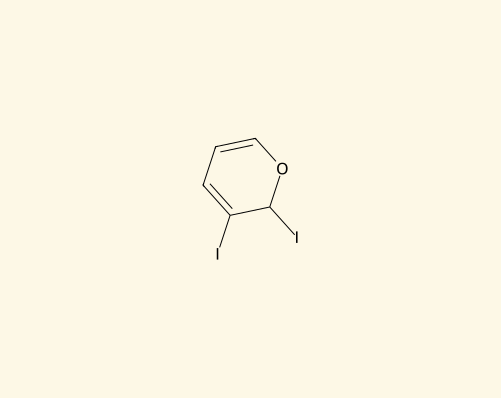 IC1=CC=COC1I